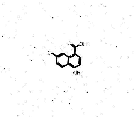 O=C(O)c1cccc2ccc(Cl)cc12.[AlH3]